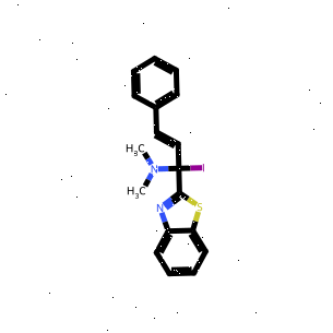 CN(C)C(I)(/C=C/c1ccccc1)c1nc2ccccc2s1